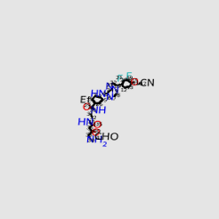 CCc1cc(Nc2nccn3c(-c4ccc(OCC#N)c(F)c4F)cnc23)ccc1C(=O)NCCNC(=O)CC(CN)OC=O